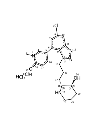 Cl.Cl.Cn1cc(-c2cc(Cl)cc3ncn(CCC[C@H]4NCCC[C@@H]4O)c23)ccc1=O